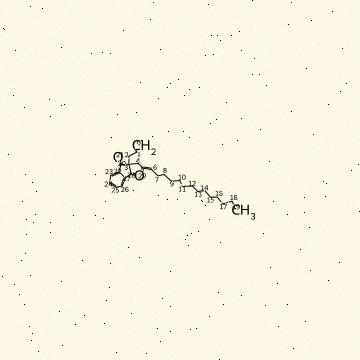 C=CCC1(CC=CCCCCCCCCCCCCC)C(=O)c2ccccc2C1=O